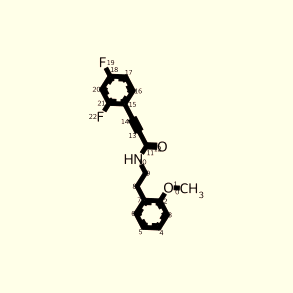 COc1ccccc1CCNC(=O)C#Cc1ccc(F)cc1F